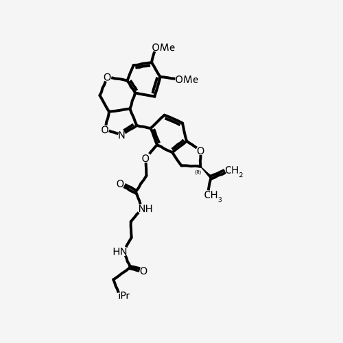 C=C(C)[C@H]1Cc2c(ccc(C3=NOC4COc5cc(OC)c(OC)cc5C34)c2OCC(=O)NCCNC(=O)CC(C)C)O1